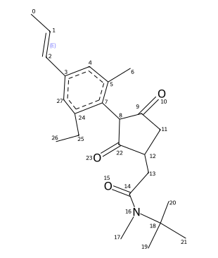 C/C=C/c1cc(C)c(C2C(=O)CC(CC(=O)N(C)C(C)(C)C)C2=O)c(CC)c1